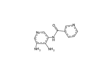 Nc1cncc(NC(=O)c2cccnc2)c1N